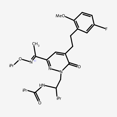 COc1ccc(F)cc1CCc1cc(/C(C)=N/OC(C)C)nn(CC(NC(=O)C(C)C)C(C)C)c1=O